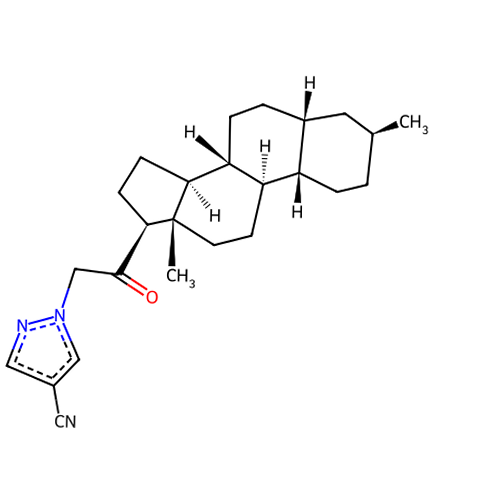 C[C@H]1CC[C@H]2[C@H](CC[C@@H]3[C@@H]2CC[C@]2(C)[C@@H](C(=O)Cn4cc(C#N)cn4)CC[C@@H]32)C1